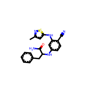 Cc1cc(Nc2cc(NC(Cc3ccccc3)C(N)=O)ccc2C#N)sn1